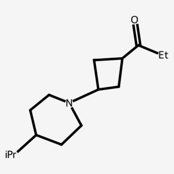 CCC(=O)C1CC(N2CCC(C(C)C)CC2)C1